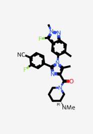 CN[C@@H]1CCCN(C(=O)c2nc(-c3ccc(C#N)c(F)c3)n(-c3cc4c(F)n(C)nc4cc3C)c2C)C1